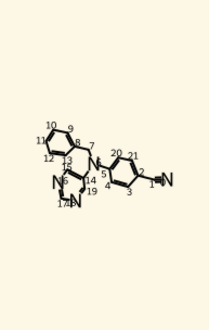 N#Cc1ccc(N(Cc2ccccc2)c2cncnc2)cc1